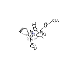 Cc1c(/N=N/c2ccccc2S(=O)(=O)NCC2CCCO2)c(O)n(CCOCCO)c(=O)c1C